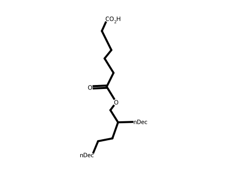 CCCCCCCCCCCCC(CCCCCCCCCC)COC(=O)CCCCC(=O)O